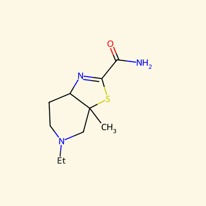 CCN1CCC2N=C(C(N)=O)SC2(C)C1